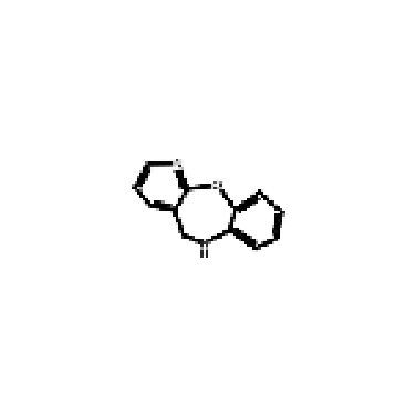 c1cnc2c(c1)CNc1ccccc1O2